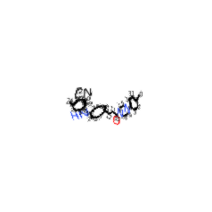 Cc1ccc(N2CCN(C(=O)CCC3CCC(Nc4ccc(C#N)c(C)c4)CC3)CC2)cc1